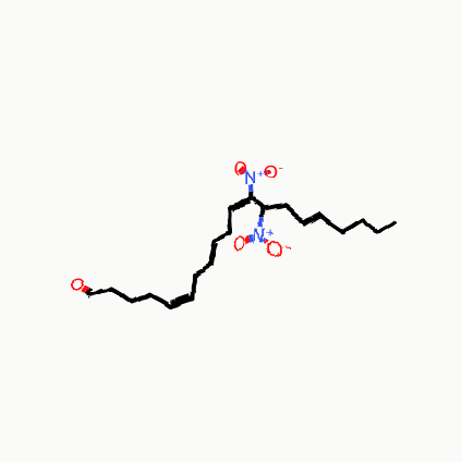 CCCCCCCC(/C(=C\C/C=C/C/C=C\CCC[C]=O)[N+](=O)[O-])[N+](=O)[O-]